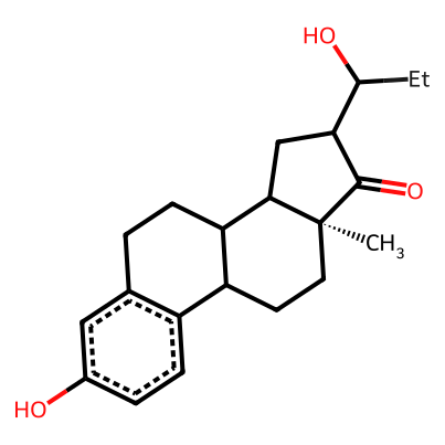 CCC(O)C1CC2C3CCc4cc(O)ccc4C3CC[C@]2(C)C1=O